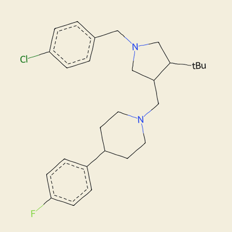 CC(C)(C)C1CN(Cc2ccc(Cl)cc2)CC1CN1CCC(c2ccc(F)cc2)CC1